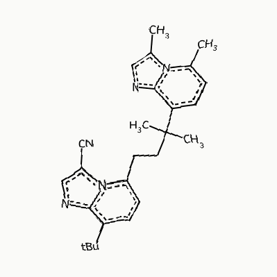 Cc1ccc(C(C)(C)CCc2ccc(C(C)(C)C)c3ncc(C#N)n23)c2ncc(C)n12